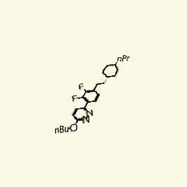 CCCCOc1ccc(-c2ccc(CC[C@H]3CC[C@H](CCC)CC3)c(F)c2F)nn1